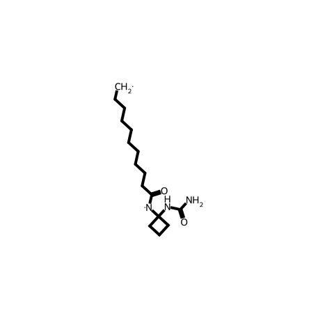 [CH2]CCCCCCCCCC(=O)[N]C1(NC(N)=O)CCC1